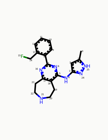 Cc1cc(Nc2nc(-c3ccccc3CF)nc3c2CCNCC3)n[nH]1